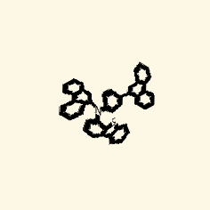 c1ccc2c(c1)cc(-c1ccc(N(c3cc4ccccc4c4ccccc34)c3cccc4c3sc3ccccc34)cc1)c1ccccc12